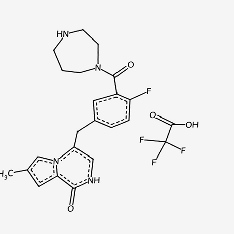 Cc1cc2c(=O)[nH]cc(Cc3ccc(F)c(C(=O)N4CCCNCC4)c3)n2c1.O=C(O)C(F)(F)F